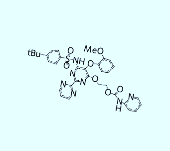 COc1ccccc1Oc1c(NS(=O)(=O)c2ccc(C(C)(C)C)cc2)nc(-c2ncccn2)nc1OCCOC(=O)Nc1ccccn1